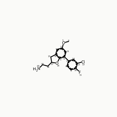 COc1cc2c(c(-c3ccc(F)c(Cl)c3)c1)OC(CCN)C2